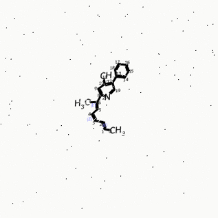 C/C=C/C=C\C=C(/C)c1cc(C)c(-c2ccccc2)cn1